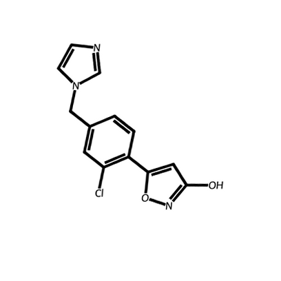 Oc1cc(-c2ccc(Cn3ccnc3)cc2Cl)on1